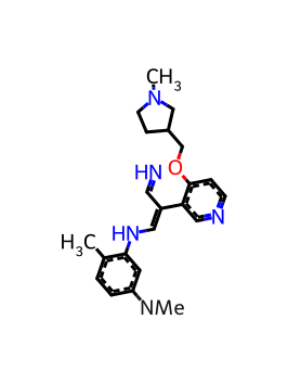 CNc1ccc(C)c(N/C=C(\C=N)c2cnccc2OCC2CCN(C)C2)c1